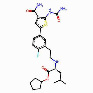 CC(C)C[C@H](NCCc1cc(-c2cc(C(N)=O)c(NC(N)=O)s2)ccc1F)C(=O)OC1CCCC1